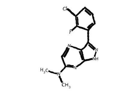 CN(C)c1cnc2c(-c3cccc(Cl)c3F)n[nH]c2n1